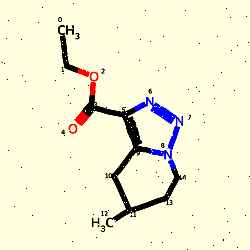 CCOC(=O)c1nnn2c1CC(C)CC2